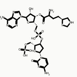 Nc1ccn([C@H]2C[C@H](OP(=O)(O)OC[C@@H]3OC(n4cnc5c(N)ncnc54)[C@H](O)[C@@H]3OC(=O)C(N)CC[C@H]3CNCS3)[C@@H](COP(=O)(O)O)O2)c(=O)n1